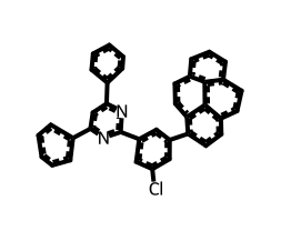 Clc1cc(-c2nc(-c3ccccc3)cc(-c3ccccc3)n2)cc(-c2ccc3ccc4cccc5ccc2c3c45)c1